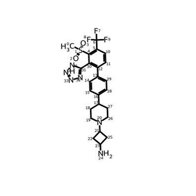 CS(=O)(=O)c1c(C(F)(F)F)ccc(-c2ccc(C3CCN(C4CC(N)C4)CC3)cc2)c1-c1nnn[nH]1